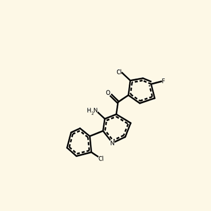 Nc1c(C(=O)c2ccc(F)cc2Cl)ccnc1-c1ccccc1Cl